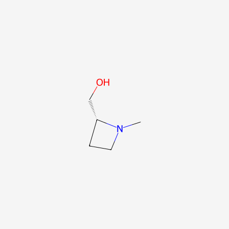 CN1CC[C@@H]1CO